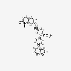 O=C(O)CCC(=O)O.O=c1ccc2ccc(OCCCCN3CCN(c4cccc5sccc45)CC3)cc2[nH]1